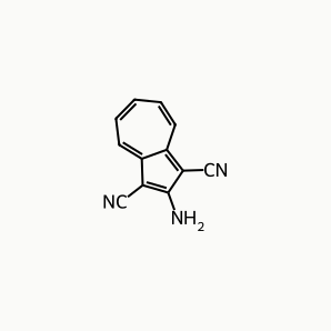 N#Cc1c2cccccc-2c(C#N)c1N